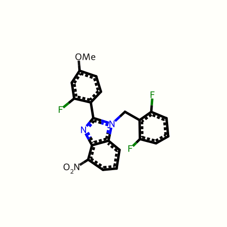 COc1ccc(-c2nc3c([N+](=O)[O-])cccc3n2Cc2c(F)cccc2F)c(F)c1